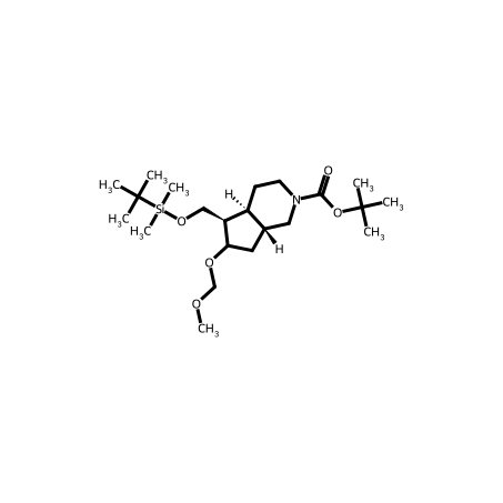 COCOC1C[C@H]2CN(C(=O)OC(C)(C)C)CC[C@@H]2[C@@H]1CO[Si](C)(C)C(C)(C)C